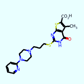 Cc1c(C(=O)O)sc2nc(SCCCN3CCN(c4ccccn4)CC3)[nH]c(=O)c12